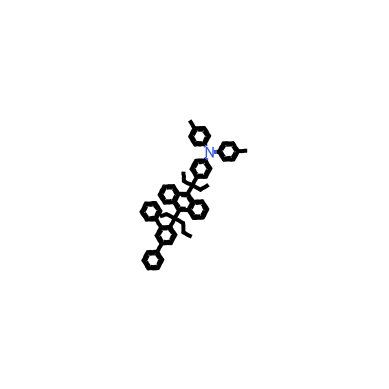 CCCC(CC)(c1ccc(-c2ccccc2)cc1-c1ccccc1)c1c2ccccc2c(C(CC)(CC)c2ccc(N(c3ccc(C)cc3)c3ccc(C)cc3)cc2)c2ccccc12